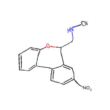 N#CNCC1Oc2ccccc2-c2ccc([N+](=O)[O-])cc21